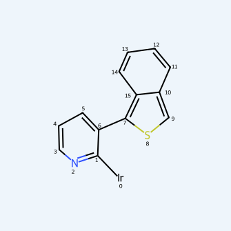 [Ir][c]1ncccc1-c1scc2ccccc12